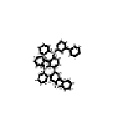 c1ccc(-c2cccc(N(c3ccccc3)c3ccc(-c4ccc5oc6ccccc6c5c4)c4c3c3ccccc3n4-c3ccccc3)c2)cc1